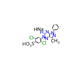 Cc1nn(-c2ccccc2)c(N)c1N=Nc1cc(Cl)c(S(=O)(=O)O)cc1Cl.[NaH]